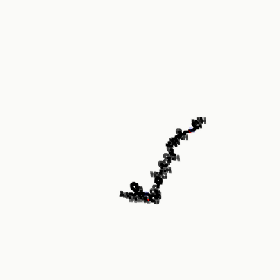 CC(=O)N(CCc1c2c(nc3ccccc13)/C(=C/C1=C(C=O)COC(=O)C1OC(=O)OCc1ccc(NC(=O)CNC(=O)COCC(=O)NC(C)(C)COC(C)(C)Cn3cc(CNC(=O)CCC/C=C/c4cnc(S)nc4)nn3)cc1)N(C)C2)C(C)C